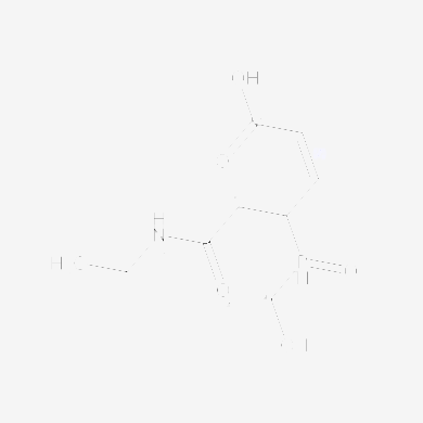 CCNC(=O)CC(/C=C\C(=O)O)[PH](=O)CO